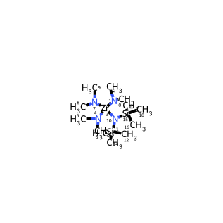 C[N](C)[Zr]([N](C)C)([N](C)C)[N]([Si](C)(C)C)[Si](C)(C)C